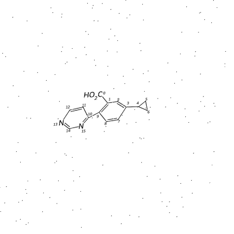 O=C(O)c1cc(C2CC2)ccc1-c1ccncn1